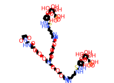 O=C(CCOCCOCCOCCN(CCOCCOCCOCCn1cc(CCCCNC(=S)Nc2ccc(O[C@H]3O[C@H](CCP(=O)(O)O)[C@@H](O)[C@H](O)[C@@H]3O)cc2)nn1)CCOCCOCCOCCn1cc(CCCCNC(=S)Nc2ccc(O[C@H]3O[C@H](CCP(=O)(O)O)[C@@H](O)[C@H](O)[C@@H]3O)cc2)nn1)NCCN1C(=O)C=CC1=O